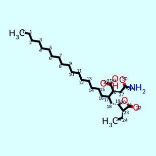 CCCCCCCCCCCCCCCCCC(C[C@@H]1OC(=O)[C@H]1CC)[C@H](CC(N)=O)C(=O)O